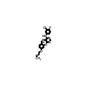 COCCOc1ccc2c(c1)Oc1ncnc(Nc3ccc(F)c(Cl)c3)c1NC2